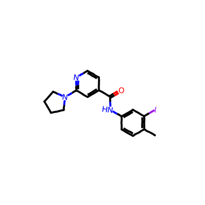 Cc1ccc(NC(=O)c2ccnc(N3CCCC3)c2)cc1I